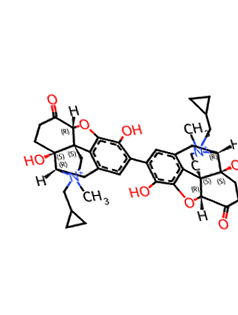 C[N+]1(CC2CC2)CC[C@]23c4c5cc(-c6cc7c8c(c6O)O[C@H]6C(=O)CC[C@@]9(O)[C@@H](C7)[N+](C)(CC7CC7)CC[C@]869)c(O)c4O[C@H]2C(=O)CC[C@@]3(O)[C@H]1C5